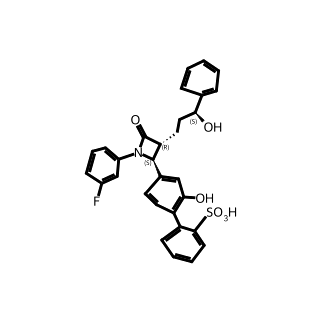 O=C1[C@H](CC[C@H](O)c2ccccc2)[C@@H](c2ccc(-c3ccccc3S(=O)(=O)O)c(O)c2)N1c1cccc(F)c1